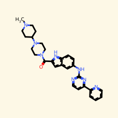 CN1CCC(N2CCN(C(=O)c3cc4cc(Nc5nccc(-c6ccccn6)n5)ccc4[nH]3)CC2)CC1